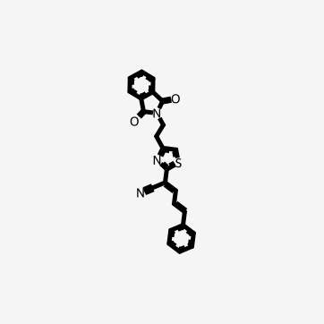 N#C/C(=C\C=C\c1ccccc1)c1nc(CCN2C(=O)c3ccccc3C2=O)cs1